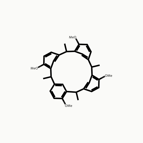 COc1ccc2cc1C(C)c1ccc(OC)c(c1)C(C)c1ccc(OC)c(c1)C(C)c1ccc(OC)c(c1)C2C